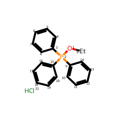 CCO[P](c1ccccc1)(c1ccccc1)c1ccccc1.Cl